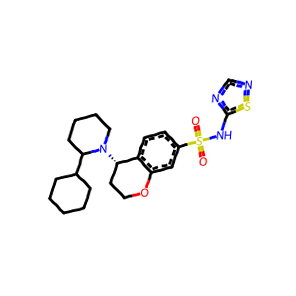 O=S(=O)(Nc1ncns1)c1ccc2c(c1)OCC[C@@H]2N1CCCCC1C1CCCCC1